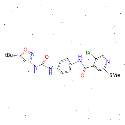 CSc1cc(C(=O)Nc2ccc(NC(=O)Nc3cc(C(C)(C)C)on3)cc2)c(Br)cn1